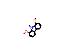 COc1cccc2c3cccc(OC)c3n(C)c12